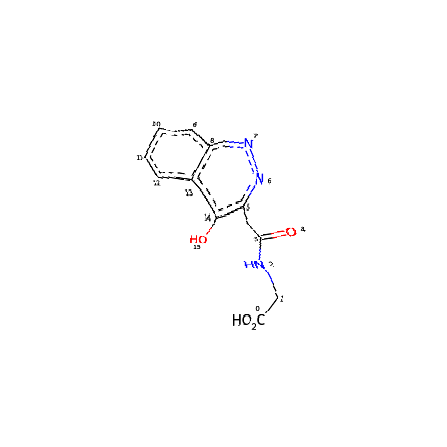 O=C(O)CNC(=O)c1nnc2ccccc2c1O